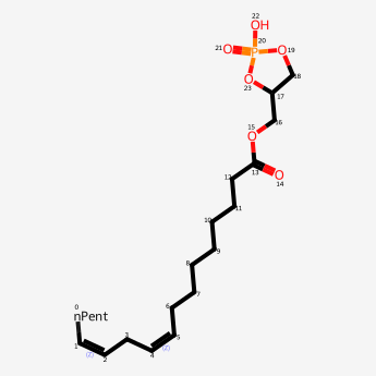 CCCCC/C=C\C/C=C\CCCCCCCC(=O)OCC1COP(=O)(O)O1